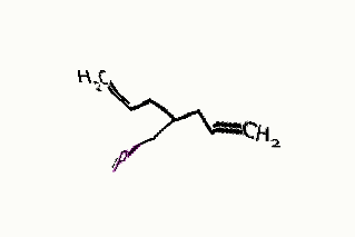 C=CCC(C[P])CC=C